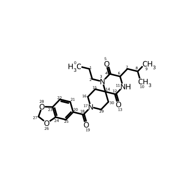 CCCN1C(=O)C(CC(C)C)NC(=O)C12CCN(C(=O)c1ccc3c(c1)OCO3)CC2